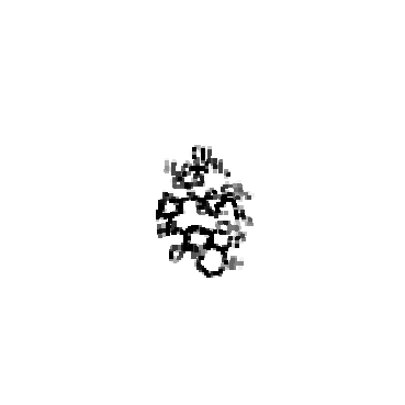 Cc1cc(Nc2cc(N(C(=O)OC(C)(C)C)C(=O)OC(C)(C)C)ncn2)c(=O)n2c1C(=O)NCCC2